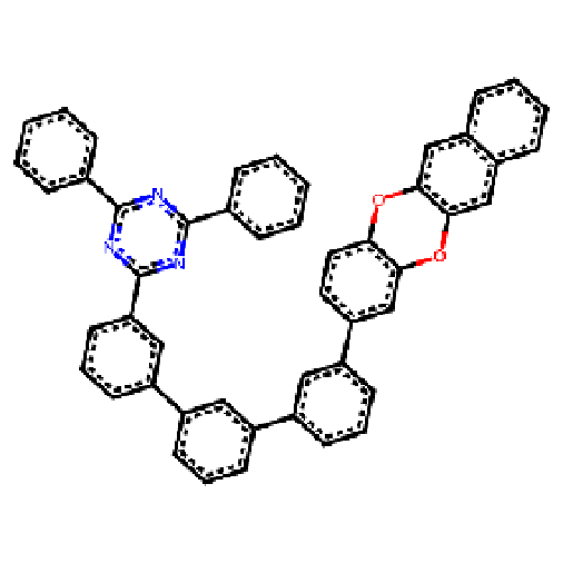 c1ccc(-c2nc(-c3ccccc3)nc(-c3cccc(-c4cccc(-c5cccc(-c6ccc7c(c6)Oc6cc8ccccc8cc6O7)c5)c4)c3)n2)cc1